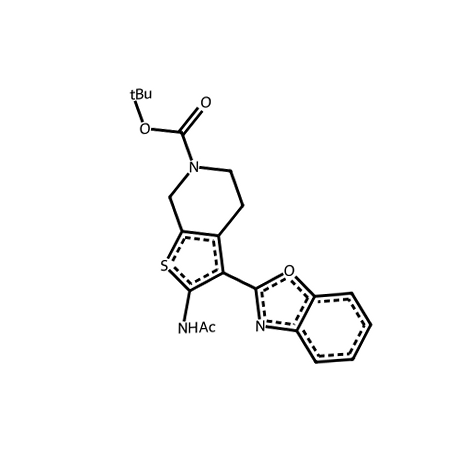 CC(=O)Nc1sc2c(c1-c1nc3ccccc3o1)CCN(C(=O)OC(C)(C)C)C2